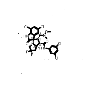 CON(C)C(=O)[C@H]1[C@@H](C(=O)Nc2cc(Cl)cc(Cl)c2)[C@H]2CC(F)(F)CN2[C@]12C(=O)Nc1c(Cl)cc(Cl)cc12